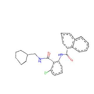 O=C(NCC1CCCCC1)c1c(Cl)cccc1NC(=O)c1cccc2ccccc12